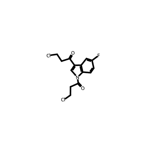 O=C(CCCl)c1cn(C(=O)CCCl)c2ccc(F)cc12